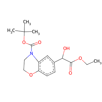 CCOC(=O)C(O)c1ccc2c(c1)N(C(=O)OC(C)(C)C)CCO2